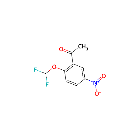 CC(=O)c1cc([N+](=O)[O-])ccc1OC(F)F